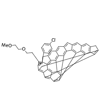 COCCOCCN1CC2C3=c4c5c6c7c(cc8cc9cc%10cc%11cc%12c%13c(c4c4c5c5c7c8c7c9c%10c8c%11c%13c4c8c75)=C(C3)C%12)CC62C1c1ccc(Cl)cc1